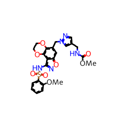 COC(=O)NCc1cnn(Cc2cc3onc(NS(=O)(=O)c4ccccc4OC)c3c3c2OCCO3)c1